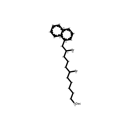 CCCCCCCCCCCCCCCC(Br)CCCC(Br)Cc1cccc2ccccc12